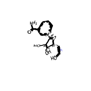 NC(=O)c1ccc[n+]([C@@H]2O[C@H](/C=C\O)[C@@H](O)[C@H]2O)c1